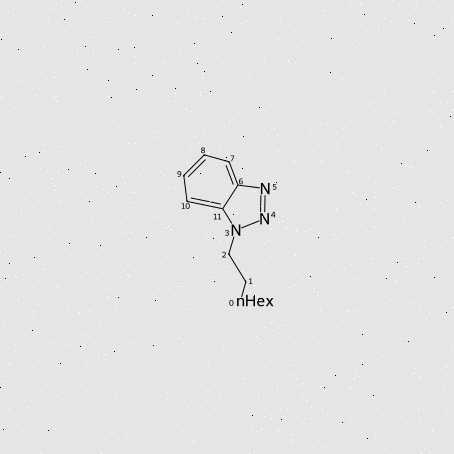 CCCCCCCCn1nnc2ccccc21